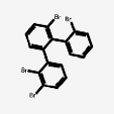 Brc1ccccc1-c1c(Br)cccc1-c1cccc(Br)c1Br